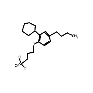 CCCCc1ccc(OCCC[Si](Cl)(Cl)Cl)c(C2CCCCC2)c1